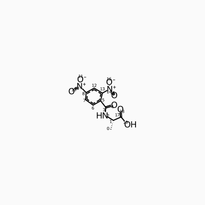 C[C@H](NC(=O)c1ccc([N+](=O)[O-])cc1[N+](=O)[O-])C(=O)O